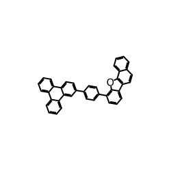 c1ccc2c(c1)ccc1c3cccc(-c4ccc(-c5ccc6c7ccccc7c7ccccc7c6c5)cc4)c3oc21